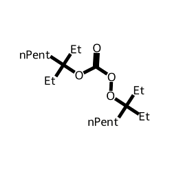 CCCCCC(CC)(CC)OOC(=O)OC(CC)(CC)CCCCC